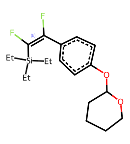 CC[Si](CC)(CC)/C(F)=C(/F)c1ccc(OC2CCCCO2)cc1